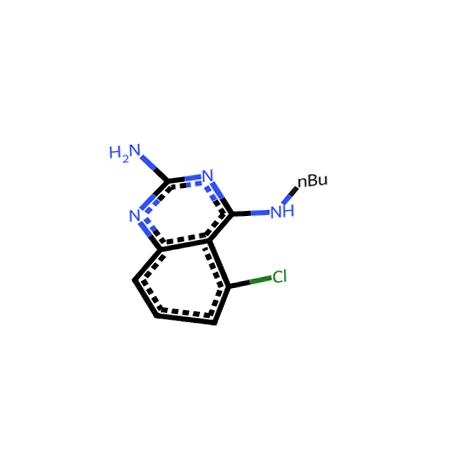 CCCCNc1nc(N)nc2cccc(Cl)c12